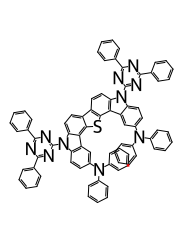 c1ccc(-c2nc(-c3ccccc3)nc(-n3c4ccc(N(c5ccccc5)c5ccccc5)cc4c4c5sc6c(ccc7c6c6cc(N(c8ccccc8)c8ccccc8)ccc6n7-c6nc(-c7ccccc7)nc(-c7ccccc7)n6)c5ccc43)n2)cc1